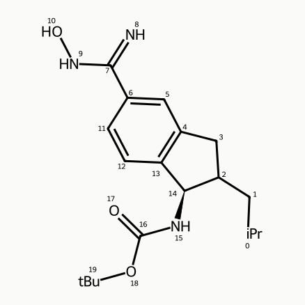 CC(C)CC1Cc2cc(C(=N)NO)ccc2[C@@H]1NC(=O)OC(C)(C)C